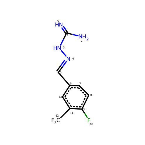 N=C(N)NN=Cc1ccc(F)c(C(F)(F)F)c1